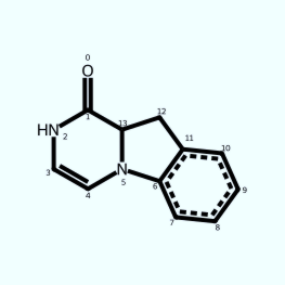 O=C1NC=CN2c3ccccc3CC12